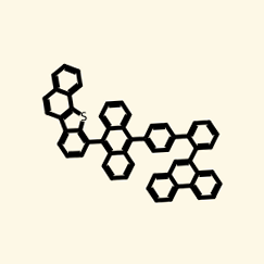 c1ccc(-c2cc3ccccc3c3ccccc23)c(-c2ccc(-c3c4ccccc4c(-c4cccc5c4sc4c6ccccc6ccc54)c4ccccc34)cc2)c1